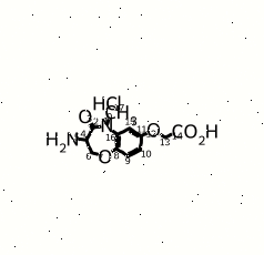 CN1C(=O)C(N)COc2ccc(OCC(=O)O)cc21.Cl